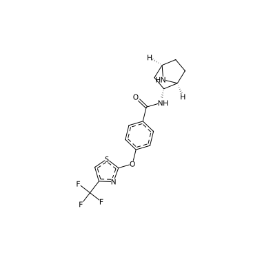 O=C(N[C@@H]1C[C@H]2CC[C@@H]1N2)c1ccc(Oc2nc(C(F)(F)F)cs2)cc1